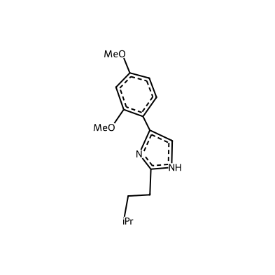 COc1ccc(-c2c[nH]c(CCC(C)C)n2)c(OC)c1